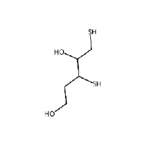 OCCC(S)C(O)CS